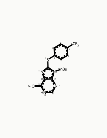 CCCCn1c(Sc2ccc(C(F)(F)F)cc2)nc2c(=O)[nH]cnc21